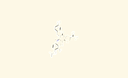 COC(=O)[C@@H](C)Cn1c(=O)[nH]/c(=N\c2ccc(OC(C)C)c(F)c2)n(Cc2ccc(Cl)cc2)c1=O